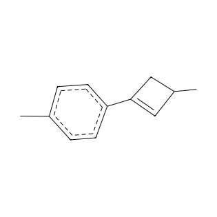 Cc1ccc(C2=CC(C)C2)cc1